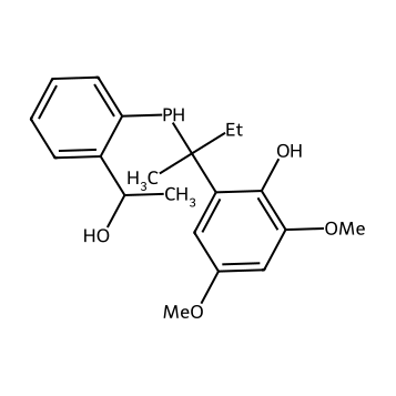 CCC(C)(Pc1ccccc1C(C)O)c1cc(OC)cc(OC)c1O